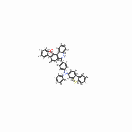 c1ccc(N(c2ccc(-c3nc4ccccc4c4c3ccc3c5ccccc5oc34)cc2)c2ccc3c(c2)sc2ccccc23)cc1